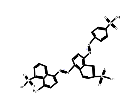 Nc1ccc(/N=N/c2ccc(/N=N/c3ccc(S(=O)(=O)O)cc3)c3cc(S(=O)(=O)O)ccc23)c2cccc(S(=O)(=O)O)c12